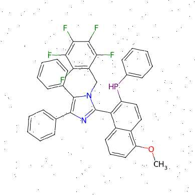 COc1cccc2c(-c3nc(-c4ccccc4)c(-c4ccccc4)n3Cc3c(F)c(F)c(F)c(F)c3F)c(Pc3ccccc3)ccc12